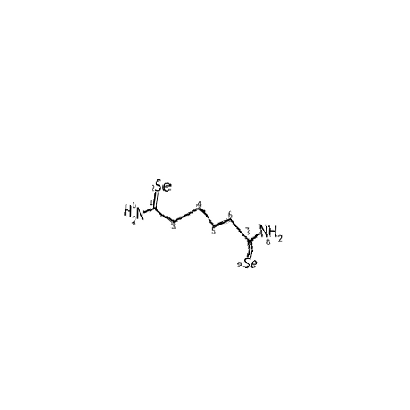 NC(=[Se])CCCCC(N)=[Se]